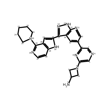 NC1CN(c2cncc(-c3cnc4[nH]nc(-c5cc6c(N7CCCCC7)nccc6[nH]5)c4c3)n2)C1